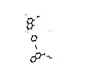 CCCCCCCCCCCCNC(=O)c1cc(OCCOc2ccc(N=Nc3c(S(=O)(=O)[O-])cc4cc(S(=O)(=O)[O-])cc(NC(=O)CC)c4c3O)cc2)c2ccccc2c1O.[Na+].[Na+]